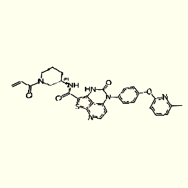 C=CC(=O)N1CCC[C@@H](NC(=O)c2sc3nccc4c3c2NC(=O)N4c2ccc(Oc3cccc(C)n3)cc2)C1